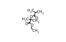 CCOC(=O)C(C)(C)OC(=O)C(C)C